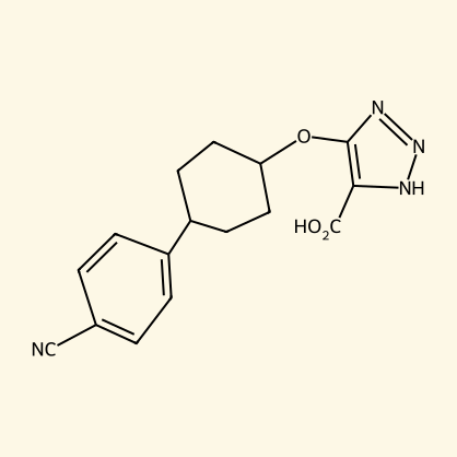 N#Cc1ccc(C2CCC(Oc3nn[nH]c3C(=O)O)CC2)cc1